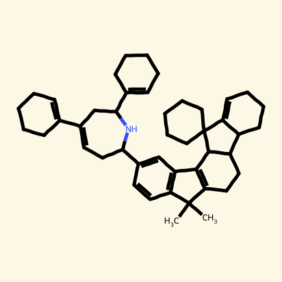 CC1(C)C2=C(c3cc(C4CC=C(C5=CCCCC5)CC(C5=CCCCC5)N4)ccc31)C1C(CC2)C2CCCC=C2C12CCCCC2